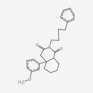 COc1cccc(C23CCCCC2C(=O)N(CCCCc2ccccc2)C(=O)C3)c1